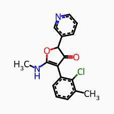 CNC1=C(c2cccc(C)c2Cl)C(=O)C(c2cccnc2)O1